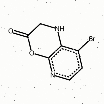 O=C1CNc2c(Br)ccnc2O1